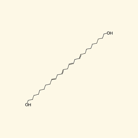 OCCCCCCCCC=CCC=CCC=CCC=CCCCCCCCCO